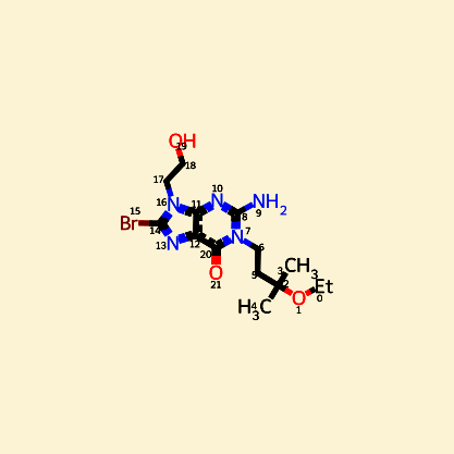 CCOC(C)(C)CCn1c(N)nc2c(nc(Br)n2CCO)c1=O